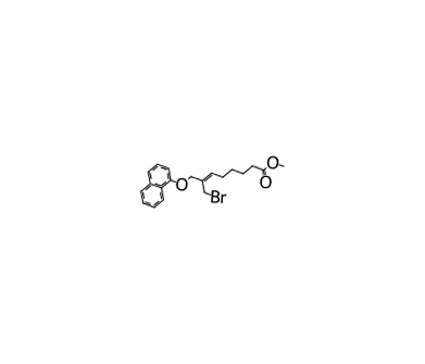 COC(=O)CCCCC=C(CBr)COc1cccc2ccccc12